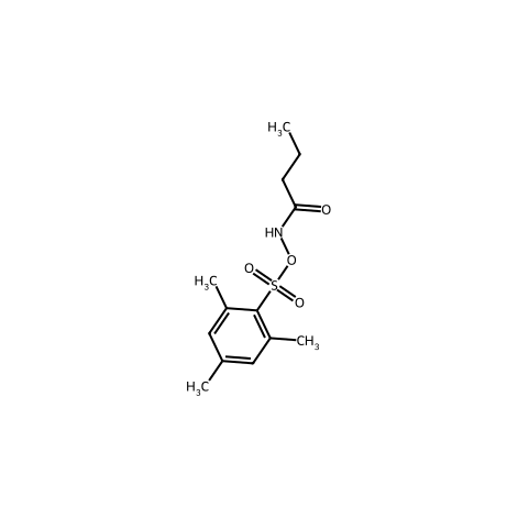 CCCC(=O)NOS(=O)(=O)c1c(C)cc(C)cc1C